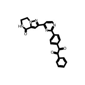 O=C(C(=O)c1ccc(-c2nccc(-c3cc4n(n3)CCNC4=O)n2)cc1)c1ccccc1